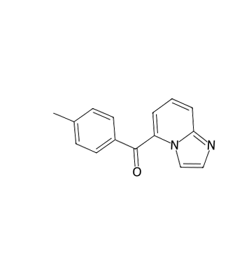 Cc1ccc(C(=O)c2cccc3nccn23)cc1